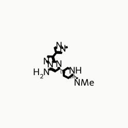 CNC[C@@H]1CC[C@H](c2cc(N)n3ncc(-c4cnn(C)c4)c3n2)CN1